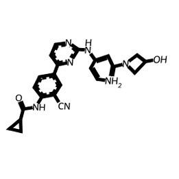 C=C(/C=C(\C=C/N)Nc1nccc(-c2ccc(NC(=O)C3CC3)c(C#N)c2)n1)N1CC(O)C1